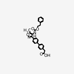 Cc1onc(-c2ccc(-c3ccc(CC(=O)O)cc3)cc2)c1NC(=O)OCCc1ccccc1